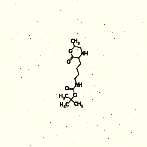 CC1CNC(CCCCNC(=O)OC(C)(C)C)C(=O)O1